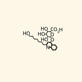 O=C(O)C1O[C@@H](Oc2cc(CCCCCCCO)nc3ccccc23)[C@H](O)C(O)[C@H]1O